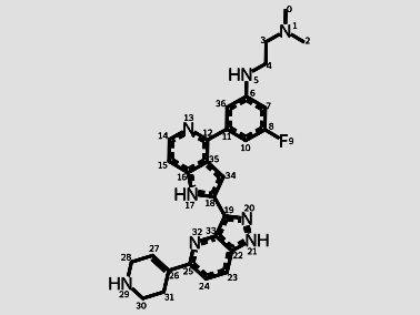 CN(C)CCNc1cc(F)cc(-c2nccc3[nH]c(-c4n[nH]c5ccc(C6=CCNCC6)nc45)cc23)c1